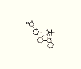 CC(C)(C)[S@+]([O-])N[C@@H](Cc1cccc(-c2cn[nH]c2)n1)c1ccccc1-c1noc2ccccc12